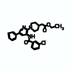 CCOC(=O)CC1CCN(c2ncc(-c3ccccc3)cc2NC(=O)c2cccc(Cl)c2)CC1